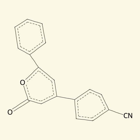 N#Cc1ccc(-c2cc(-c3ccccc3)oc(=O)c2)cc1